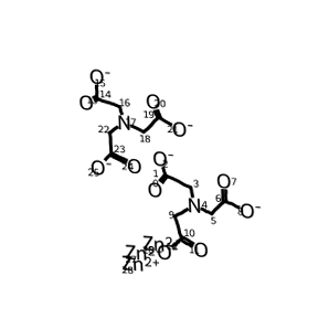 O=C([O-])CN(CC(=O)[O-])CC(=O)[O-].O=C([O-])CN(CC(=O)[O-])CC(=O)[O-].[Zn+2].[Zn+2].[Zn+2]